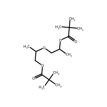 CC(COC(=O)C(C)(C)C)OCC(C)OC(=O)C(C)(C)C